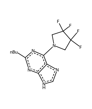 CCCCc1nc(N2CC(F)(F)C(F)(F)C2)c2nc[nH]c2n1